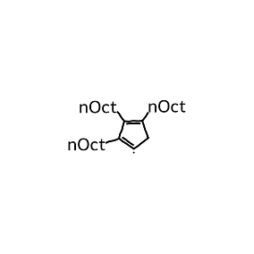 CCCCCCCCC1=[C]CC(CCCCCCCC)=C1CCCCCCCC